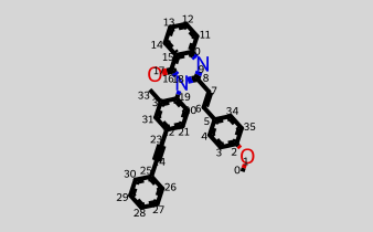 COc1ccc(C=Cc2nc3ccccc3c(=O)n2-c2ccc(C#Cc3ccccc3)cc2C)cc1